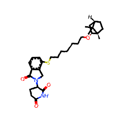 CC1(C)[C@H]2CC[C@]1(C)[C@H](OCCCCCCCSc1cccc3c1CN(C1CCC(=O)NC1=O)C3=O)C2